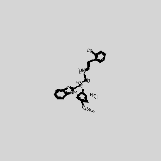 COc1ccc(C[C@@H](NC(=O)NCCc2ccccc2Cl)c2nc3ccccc3[nH]2)cc1.Cl